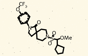 COC(C1CCCC1)S(=O)(=O)N1CCC2(CCN(c3ccc(OC(F)(F)F)cc3)C2=O)CC1